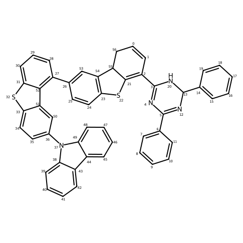 C1=CC(C2=NC(c3ccccc3)=NC(c3ccccc3)N2)=C2Sc3ccc(-c4cccc5sc6ccc(-n7c8ccccc8c8ccccc87)cc6c45)cc3C2C1